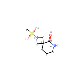 CS(=O)(=O)N1CC2(CCCNC2=O)C1